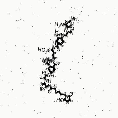 CC(C)[C@H](NC(=O)CCCCCN1C(=O)C=CC1O)C(=O)N[C@@H](C)C(=O)Nc1ccc(C(=O)NCCC[C@H](NC(=O)c2ccc(NCc3cnc4nc(N)nc(N)c4n3)c(N)c2)C(=O)O)c(-c2nn[nH]n2)c1